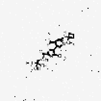 Cc1nc(C(=O)NCC(C)(C)O)sc1-c1cnc(NC2(C)CCC2)cc1C(F)F